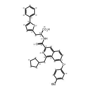 CC(C)(C)c1ccc(Oc2ccc3cc(C(=O)N[C@@H](Cc4ccc(-c5ccccc5)s4)C(=O)O)nc(CC4CCCC4)c3c2)cc1